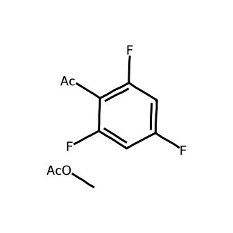 CC(=O)c1c(F)cc(F)cc1F.COC(C)=O